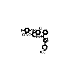 CC(C)(C)N1CCC(n2cc([C@@H](Nc3cc(Cl)cc4c(Nc5ccc(F)c(Cl)c5)c(C#N)cnc34)c3ccccc3)nn2)CC1